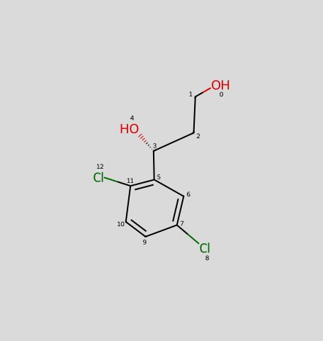 OCC[C@@H](O)c1cc(Cl)ccc1Cl